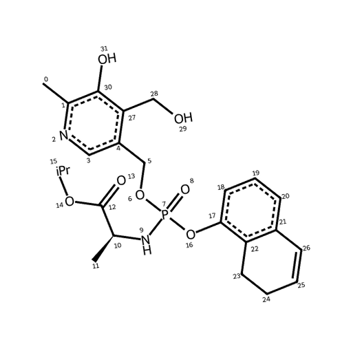 Cc1ncc(COP(=O)(N[C@@H](C)C(=O)OC(C)C)Oc2cccc3c2CCC=C3)c(CO)c1O